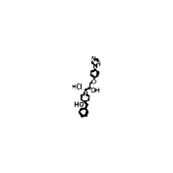 Cl.OC(COc1ccc(-n2cncn2)cc1)CN1CCC(O)(Cc2ccccc2)CC1